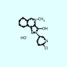 C[n+]1cc2ccccc2c2nn(-c3ccc(Cl)nc3)c(O)c21.[OH-]